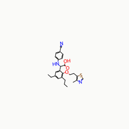 CCCc1cc(CC)cc(C(Nc2ccc(C#N)cc2)C(=O)O)c1OCCc1scnc1C